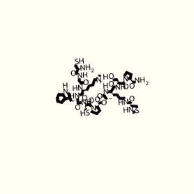 C[C@H](OC(=O)[C@@H]1CCCN1C(=O)[C@H](CS)NC(=O)[C@H](Cc1c[nH]c2ccccc12)NC(=O)[C@H](CCCCN(C)C)NC(=O)CNC(=O)[C@@H](N)CS)C(=O)N[C@@H](CCCCNC(=O)[C@@H]1CSCN1)C(=O)N[C@@H](CCO)C(=O)N1CCC[C@H]1C(N)=O